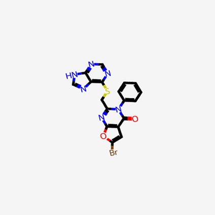 O=c1c2cc(Br)oc2nc(CSc2ncnc3[nH]cnc23)n1-c1ccccc1